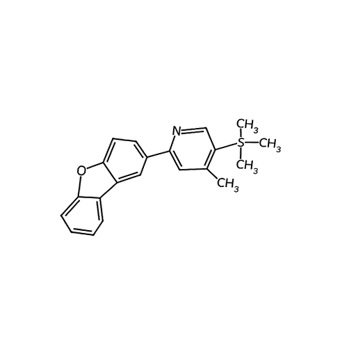 Cc1cc(-c2ccc3oc4ccccc4c3c2)ncc1S(C)(C)C